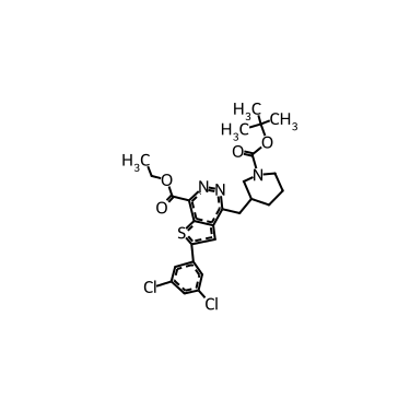 CCOC(=O)c1nnc(CC2CCCN(C(=O)OC(C)(C)C)C2)c2cc(-c3cc(Cl)cc(Cl)c3)sc12